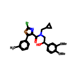 COc1ccc(C(O)CN(CC2CC2)C(=O)c2nc(Br)sc2-c2cccc(C)c2)cc1OC